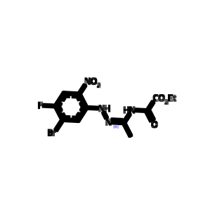 CCOC(=O)C(=O)N/C(C)=N\Nc1cc(Br)c(F)cc1[N+](=O)[O-]